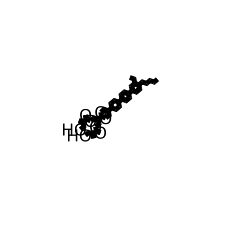 C=C(CO)C(=O)OCC(COC(=O)C(=C)CO)C1OCC(C2CCC(c3ccc(-c4ccc(CCCCC)c(CC)c4)cc3)CC2)CO1